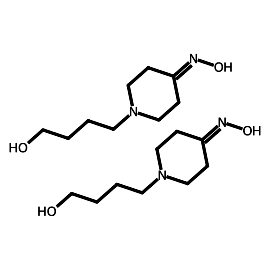 OCCCCN1CCC(=NO)CC1.OCCCCN1CCC(=NO)CC1